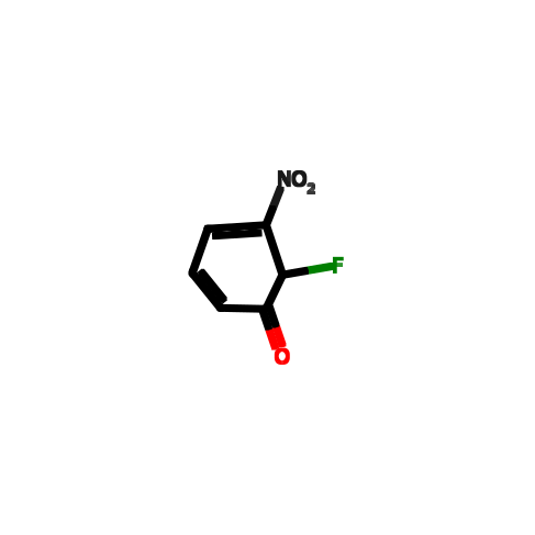 O=C1C=CC=C([N+](=O)[O-])C1F